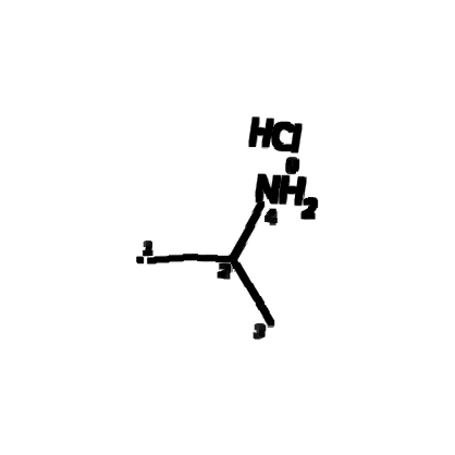 Cl.[CH2]C(C)N